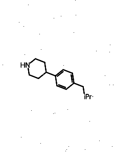 C[C](C)Cc1ccc(C2CCNCC2)cc1